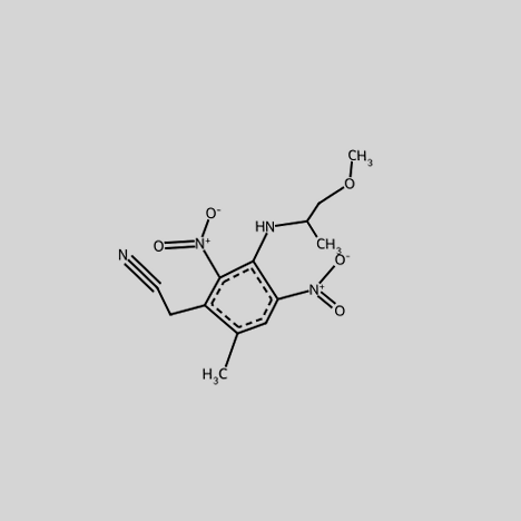 COCC(C)Nc1c([N+](=O)[O-])cc(C)c(CC#N)c1[N+](=O)[O-]